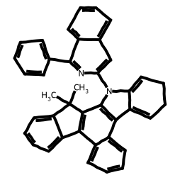 CC1(C)c2ccccc2-c2c1c1c(c3c(n1-c1cc4ccccc4c(-c4ccccc4)n1)=CCCC=3)c1ccccc21